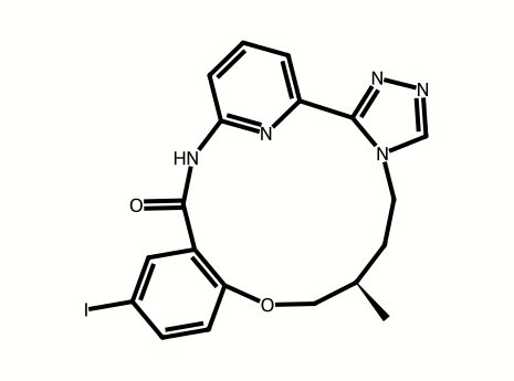 C[C@@H]1CCn2cnnc2-c2cccc(n2)NC(=O)c2cc(I)ccc2OC1